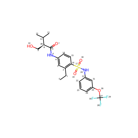 CCc1cc(NC(=O)[C@@H](CO)C(C)C)ccc1S(=O)(=O)Nc1cccc(OC(F)(F)F)c1